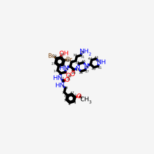 COc1cccc(CCNC(=O)NC(Cc2cc(Br)c(O)c(Br)c2)C(=O)NC(CCCCN)C(=O)N2CCN(C3CCNCC3)CC2)c1